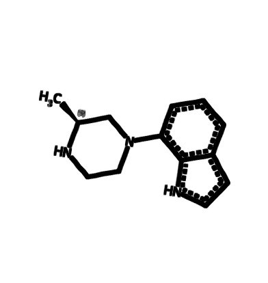 C[C@H]1CN(c2cccc3cc[nH]c23)CCN1